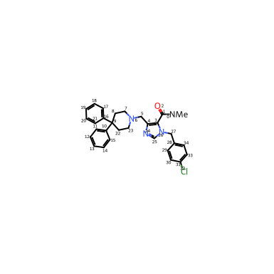 CNC(=O)c1c(CN2CCC(c3ccccc3)(c3ccccc3)CC2)ncn1Cc1ccc(Cl)cc1